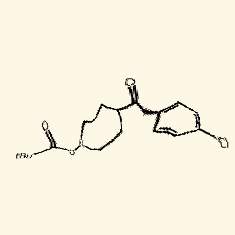 CC(C)(C)C(=O)ON1CCC(C(=O)c2ccc(Cl)cc2)CC1